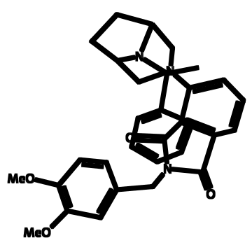 COc1ccc(CN2C(=O)c3cccc(N4CC5CCC(C4)N5C(C)c4ccccc4)c3C2=O)cc1OC